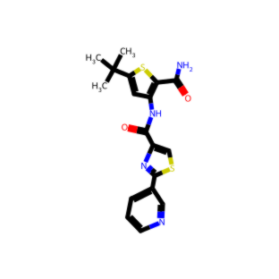 CC(C)(C)c1cc(NC(=O)c2csc(-c3cccnc3)n2)c(C(N)=O)s1